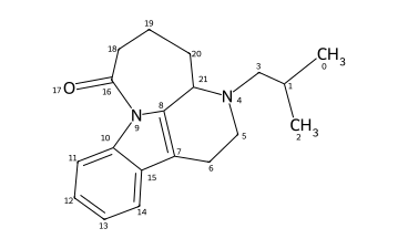 CC(C)CN1CCc2c3n(c4ccccc24)C(=O)CCCC31